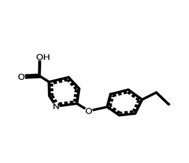 CCc1ccc(Oc2ccc(C(=O)O)cn2)cc1